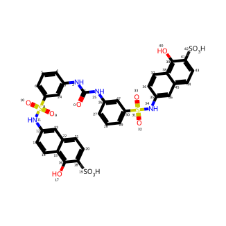 O=C(Nc1cccc(S(=O)(=O)Nc2ccc3c(O)c(S(=O)(=O)O)ccc3c2)c1)Nc1cccc(S(=O)(=O)Nc2ccc3c(O)c(S(=O)(=O)O)ccc3c2)c1